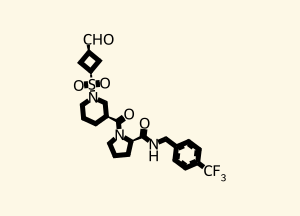 O=C[C@H]1C[C@H](S(=O)(=O)N2CCC[C@H](C(=O)N3CCC[C@@H]3C(=O)NCc3ccc(C(F)(F)F)cc3)C2)C1